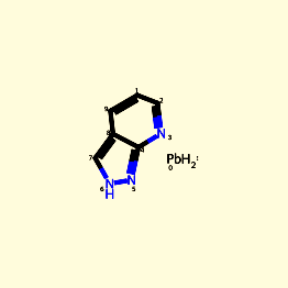 [PbH2].c1cnc2n[nH]cc2c1